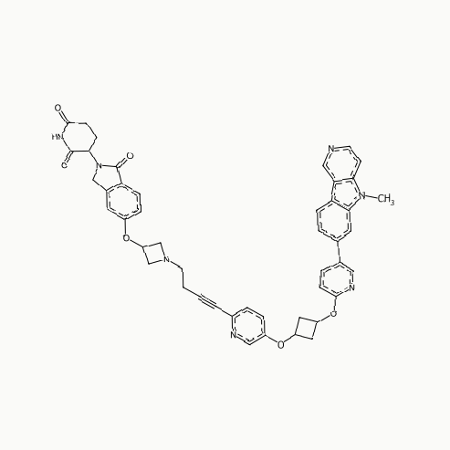 Cn1c2ccncc2c2ccc(-c3ccc(OC4CC(Oc5ccc(C#CCCN6CC(Oc7ccc8c(c7)CN(C7CCC(=O)NC7=O)C8=O)C6)nc5)C4)nc3)cc21